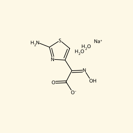 Nc1nc(C(=NO)C(=O)[O-])cs1.O.O.[Na+]